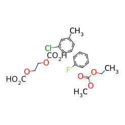 CCOC(=O)OC.Cc1cccc(Cl)c1.Fc1ccccc1.O=C(O)OCCOC(=O)O